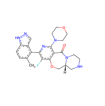 Cc1ccc2[nH]ncc2c1-c1nc(N2CCOCC2)c2c(c1F)OC[C@H]1CNCCN1C2=O